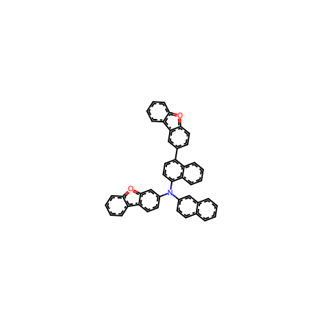 c1ccc2cc(N(c3ccc4c(c3)oc3ccccc34)c3ccc(-c4ccc5oc6ccccc6c5c4)c4ccccc34)ccc2c1